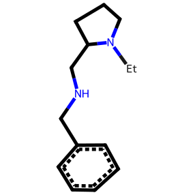 CCN1CCCC1CNCc1ccccc1